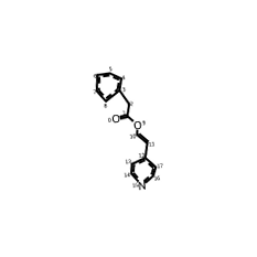 O=C(Cc1ccccc1)OC=Cc1ccncc1